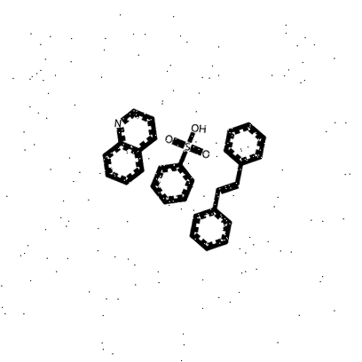 C(=C\c1ccccc1)/c1ccccc1.O=S(=O)(O)c1ccccc1.c1ccc2ncccc2c1